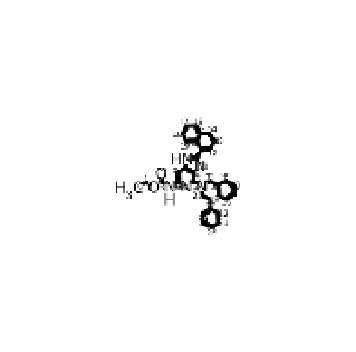 CCOC(=O)Nc1cc2[nH]c(-c3cccc4ccccc34)nc2c(N(CCc2ccccc2)Cc2ccccc2)n1